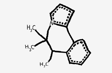 CC1c2ccccc2-c2cccn2C1(C)C